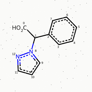 O=C(O)C(c1ccccc1)n1cccn1